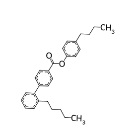 CCCCCc1ccccc1-c1ccc(C(=O)Oc2ccc(CCCC)cc2)cc1